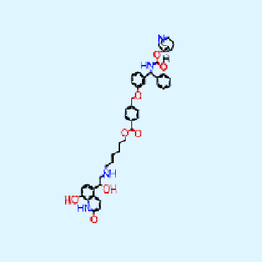 O=C(NC(c1ccccc1)c1cccc(OCc2ccc(C(=O)OCCCCCCNC[C@@H](O)c3ccc(O)c4[nH]c(=O)ccc34)cc2)c1)O[C@H]1CN2CCC1CC2